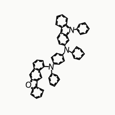 c1ccc(N(c2ccc(N(c3ccccc3)c3cccc4cc5oc6ccccc6c5cc34)cc2)c2ccc3c4ccccc4n(-c4ccccc4)c3c2)cc1